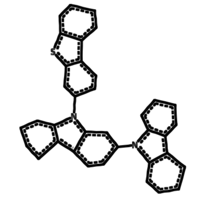 c1ccc2c(c1)sc1cc(-n3c4ccccc4c4ccc(-n5c6ccccc6c6ccccc65)cc43)ccc12